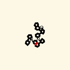 c1ccc(-c2ccccc2N(c2cccc(-c3cccc4oc5c6ccccc6ccc5c34)c2)c2cccc(-n3c4ccccc4c4ccccc43)c2)cc1